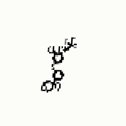 COC1(c2cccc(Sc3ccc(NCC(F)(F)F)c(Cl)c3)c2)CCOCC1